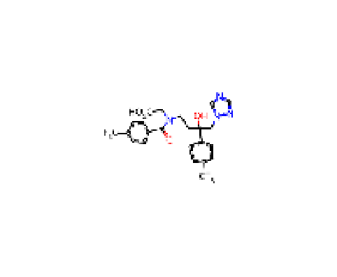 O=C(O)CN(CCC(O)(Cn1cncn1)c1ccc(C(F)(F)F)cc1)C(=O)c1ccc(C(F)(F)F)cc1